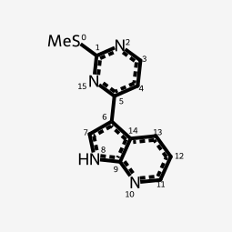 CSc1nccc(-c2c[nH]c3ncccc23)n1